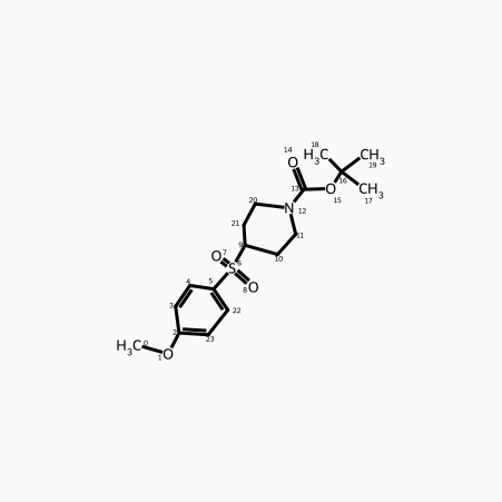 COc1ccc(S(=O)(=O)C2CCN(C(=O)OC(C)(C)C)CC2)cc1